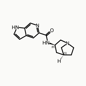 O=C(N[C@@H]1C[C@@H]2CCN(C2)C1)c1cc2cc[nH]c2cn1